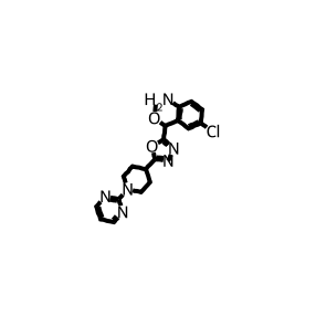 COC(c1nnc(C2CCN(c3ncccn3)CC2)o1)c1cc(Cl)ccc1N